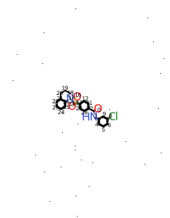 O=C(Nc1cccc(Cl)c1)c1ccc(S(=O)(=O)N2CCCc3ccccc32)cc1